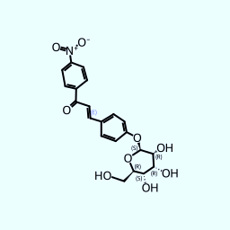 O=C(/C=C/c1ccc(O[C@@H]2O[C@H](CO)[C@@H](O)[C@@H](O)[C@H]2O)cc1)c1ccc([N+](=O)[O-])cc1